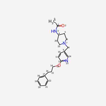 CC(=O)NC1CCN(Cc2ccc(OCCCc3ccccc3)nc2)CC1